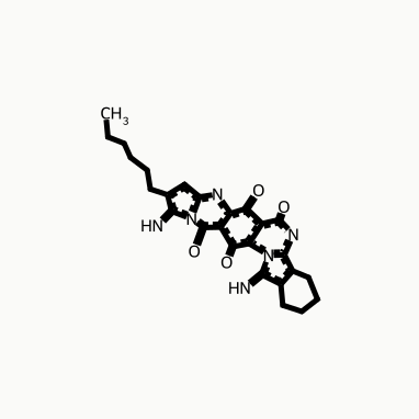 CCCCCCc1cc2nc3c(=O)c4c(=O)nc5c6c(c(=N)n5c4c(=O)c3c(=O)n2c1=N)CCCC6